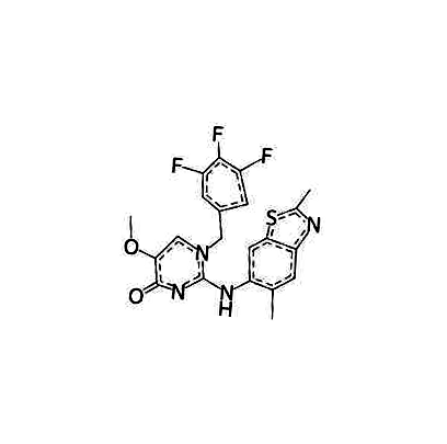 COc1cn(Cc2cc(F)c(F)c(F)c2)c(Nc2cc3sc(C)nc3cc2C)nc1=O